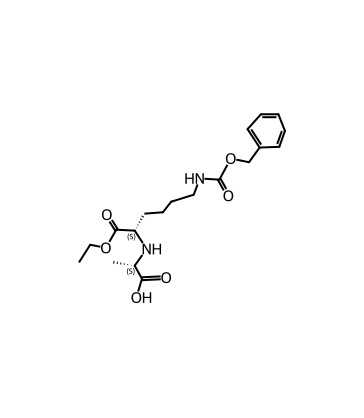 CCOC(=O)[C@H](CCCCNC(=O)OCc1ccccc1)N[C@@H](C)C(=O)O